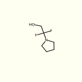 OCC(F)(F)N1CCCC1